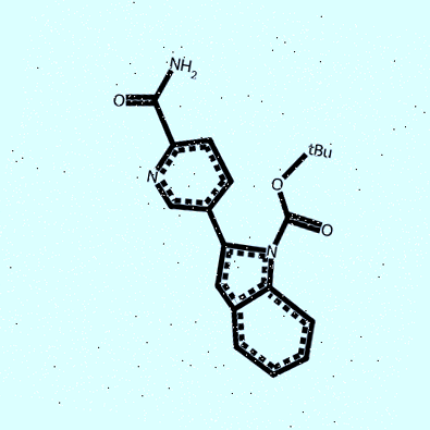 CC(C)(C)OC(=O)n1c(-c2ccc(C(N)=O)nc2)cc2ccccc21